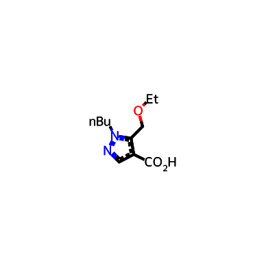 CCCCn1ncc(C(=O)O)c1COCC